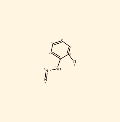 [N-]=[N+]Nc1ccccc1Cl